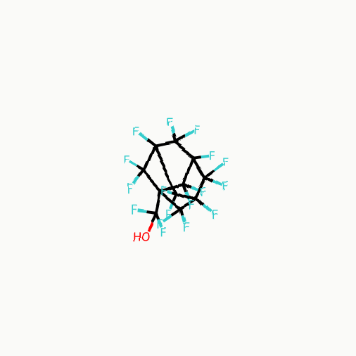 OC(F)(F)C12C(F)(F)C3(F)C(F)(F)C(F)(C(F)(F)C(F)(C3(F)F)C1(F)F)C2(F)F